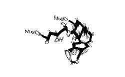 COC(=O)C[C@@H](O)C(=O)OC1C(OC)=CC23CCCN2CCc2cc4c(cc2[C@H]13)OCO4